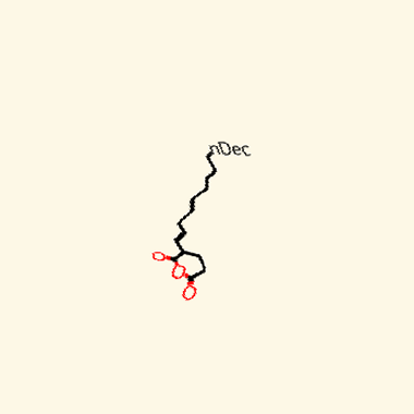 CCCCCCCCCCCCCCCCCC=CC1CCC(=O)OC1=O